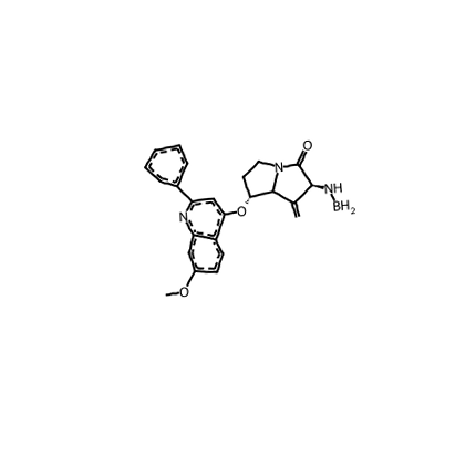 BN[C@H]1C(=C)C2[C@H](Oc3cc(-c4ccccc4)nc4cc(OC)ccc34)CCN2C1=O